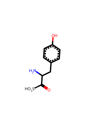 NC(Cc1ccc(O)cc1)C(=O)S(=O)(=O)O